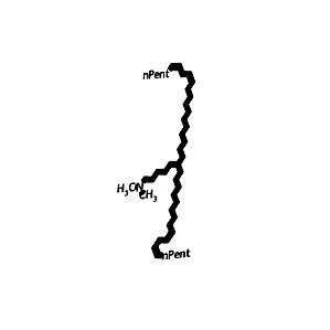 CCCCC/C=C\C/C=C\CCCCCCCCCCC(CCCCCCCC/C=C\C/C=C\CCCCC)CCCCCN(C)C